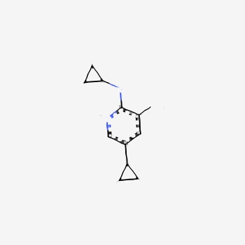 Cc1cc(C2CC2)cnc1NC1CC1